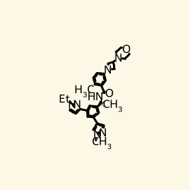 CCn1ccc(-c2cc(-c3cnn(C)c3)cc([C@@H](C)NC(=O)c3cc(N4CC(N5CCOCC5)C4)ccc3C)c2)n1